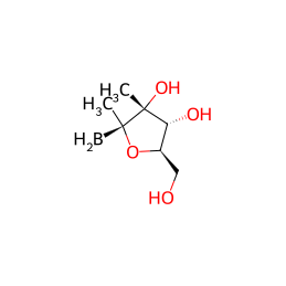 B[C@]1(C)O[C@H](CO)[C@@H](O)[C@@]1(C)O